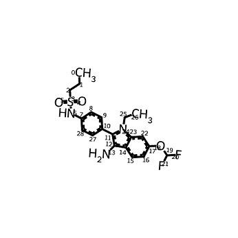 CCCS(=O)(=O)Nc1ccc(-c2c(N)c3ccc(OC(F)F)cc3n2CC)cc1